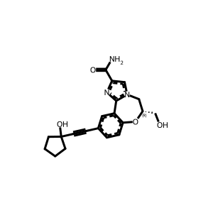 NC(=O)c1cn2c(n1)-c1cc(C#CC3(O)CCCC3)ccc1O[C@@H](CO)C2